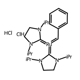 CC(C)N1CCN(C(C)C)[C]1=[Ru](=[CH]c1ccccc1)=[C]1N(C(C)C)CCN1C(C)C.Cl.Cl